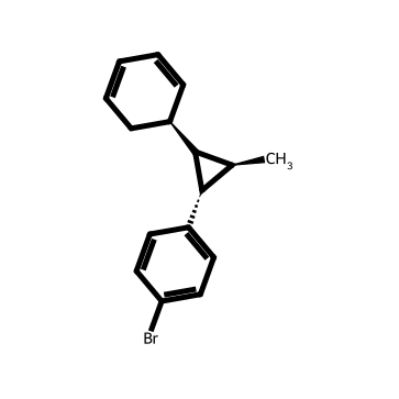 C[C@@H]1C([C@@H]2C=CC=CC2)[C@H]1c1ccc(Br)cc1